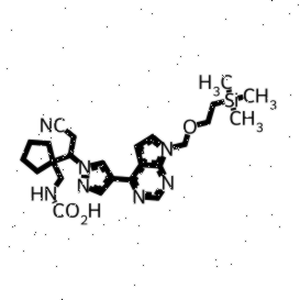 C[Si](C)(C)CCOCn1ccc2c(-c3cnn(C(CC#N)C4(CNC(=O)O)CCCC4)c3)ncnc21